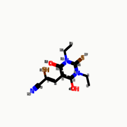 CCn1c(O)c(C=C(S)C#N)c(=O)n(CC)c1=S